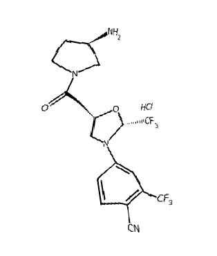 Cl.N#Cc1ccc(N2C[C@@H](C(=O)N3CC[C@@H](N)C3)O[C@@H]2C(F)(F)F)cc1C(F)(F)F